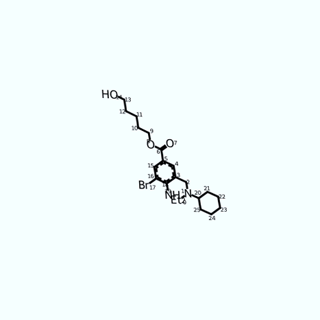 CCN(Cc1cc(C(=O)OCCCCCO)cc(Br)c1N)C1CCCCC1